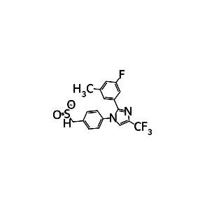 Cc1cc(F)cc(-c2nc(C(F)(F)F)cn2-c2ccc(C[SH](=O)=O)cc2)c1